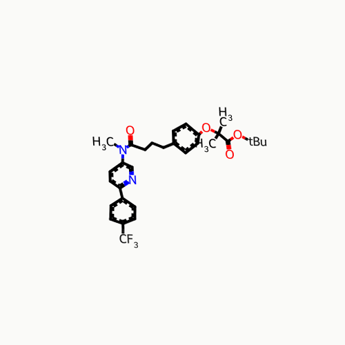 CN(C(=O)CCCc1ccc(OC(C)(C)C(=O)OC(C)(C)C)cc1)c1ccc(-c2ccc(C(F)(F)F)cc2)nc1